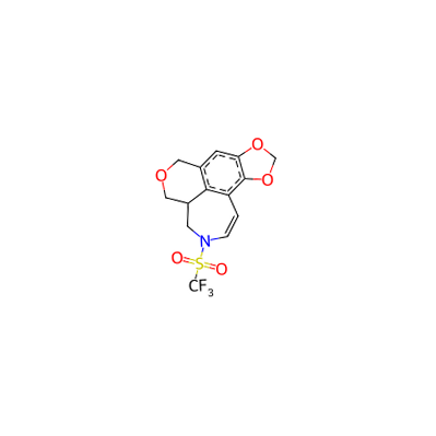 O=S(=O)(N1C=Cc2c3c(cc4c2C(COC4)C1)OCO3)C(F)(F)F